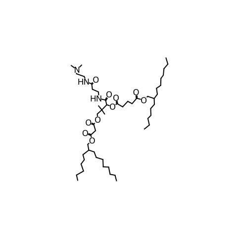 CCCCCCCCC(CCCCCC)COC(=O)CCCC(=O)OC(C(=O)NCCC(=O)NCCN(C)C)C(C)(C)COC(=O)CC(=O)OCC(CCCCCC)CCCCCCCC